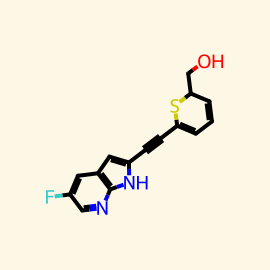 OCC1C=CC=C(C#Cc2cc3cc(F)cnc3[nH]2)S1